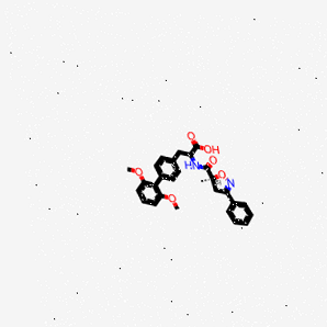 COc1cccc(OC)c1-c1ccc(CC(NC(=O)[C@]2(C)CC(c3ccccc3)=NO2)C(=O)O)cc1